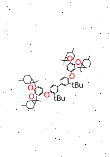 CC1CCC2C(C)(C)C2(Oc2ccc(Oc3ccc(-c4ccc(Oc5ccc(OC67CC(C)CCC6C7(C)C)c(OC67CC(C)CCC6C7(C)C)c5)c(C(C)(C)C)c4)cc3C(C)(C)C)cc2OC23CC(C)CCC2C3(C)C)C1